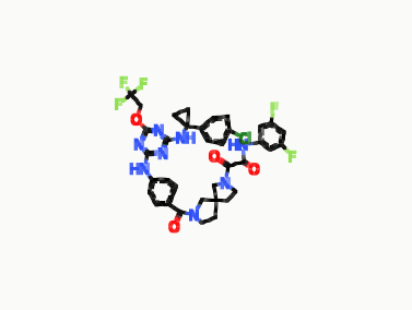 O=C(Nc1cc(F)cc(F)c1)C(=O)N1CCC2(CCN(C(=O)c3ccc(Nc4nc(NC5(c6ccc(Cl)cc6)CC5)nc(OCC(F)(F)F)n4)cc3)C2)C1